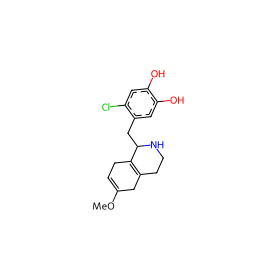 COC1=CCC2=C(CCNC2Cc2cc(O)c(O)cc2Cl)C1